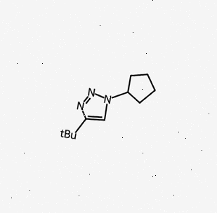 CC(C)(C)c1cn(C2CCCC2)nn1